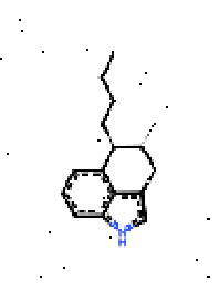 CCCC[C@@H]1c2cccc3[nH]cc(c23)C[C@H]1C